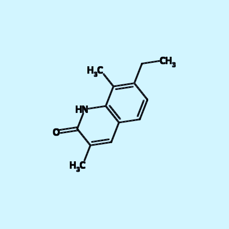 CCc1ccc2cc(C)c(=O)[nH]c2c1C